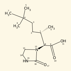 C[C@@H](CCC(C)(C)C)[C@@H](C(=O)O)N1CCNC1=O